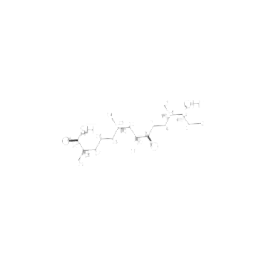 CC[C@@H](O)[C@H](C)CCC(=O)[C@H](C)C[C@H](C)CCC[C@@H](C)C(=O)S